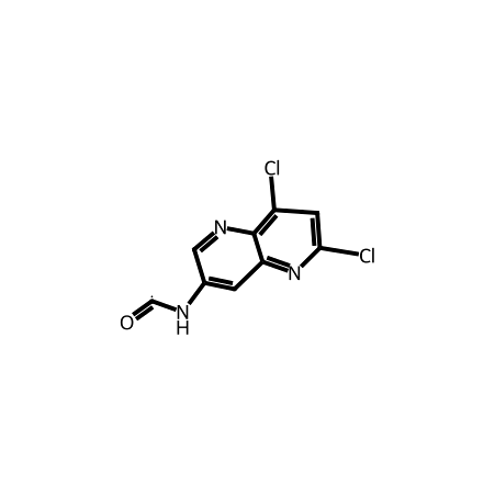 O=[C]Nc1cnc2c(Cl)cc(Cl)nc2c1